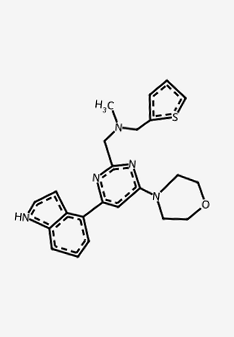 CN(Cc1nc(-c2cccc3[nH]ccc23)cc(N2CCOCC2)n1)Cc1cccs1